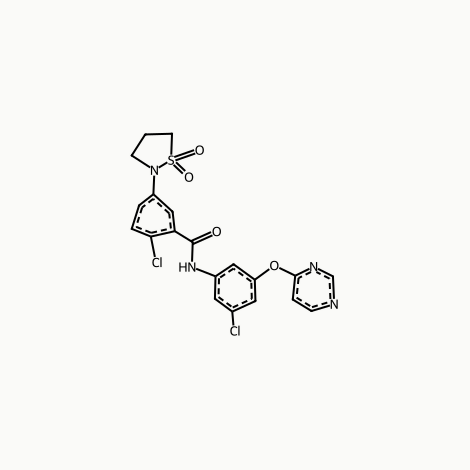 O=C(Nc1cc(Cl)cc(Oc2ccncn2)c1)c1cc(N2CCCS2(=O)=O)ccc1Cl